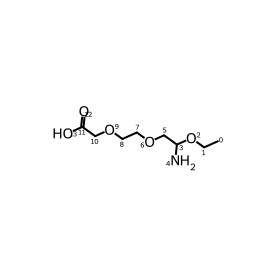 CCOC(N)COCCOCC(=O)O